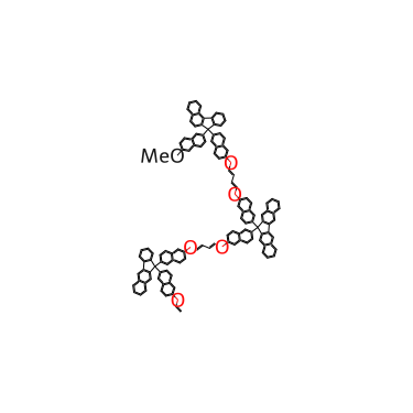 C=COc1ccc2cc(C3(c4ccc5cc(O/C=C/C=C/Oc6ccc7cc(C8(c9ccc%10cc(O/C=C/C=C/Oc%11ccc%12cc(C%13(c%14ccc%15cc(OC)ccc%15c%14)c%14ccccc%14-c%14c%13ccc%13ccccc%14%13)ccc%12c%11)ccc%10c9)c9cc%10ccccc%10cc9-c9cc%10ccccc%10cc98)ccc7c6)ccc5c4)c4ccccc4-c4cc5ccccc5cc43)ccc2c1